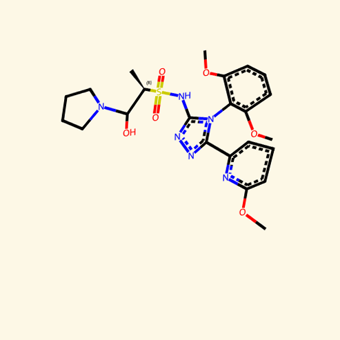 COc1cccc(-c2nnc(NS(=O)(=O)[C@H](C)C(O)N3CCCC3)n2-c2c(OC)cccc2OC)n1